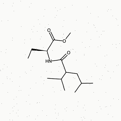 CC[C@H](NC(=O)C(CC(C)C)C(C)C)C(=O)OC